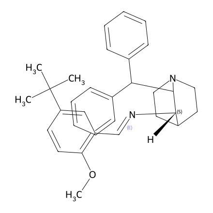 COc1ccc(C(C)(C)C)cc1/C=N/[C@H]1C2CCN(CC2)C1C(c1ccccc1)c1ccccc1